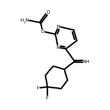 N=C(c1ccnc(OC(N)=O)n1)C1CCC(F)(F)CC1